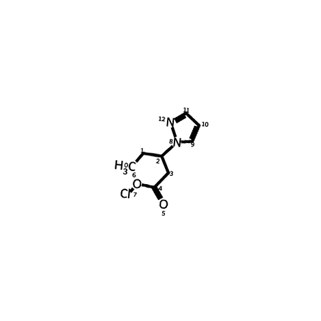 CCC(CC(=O)OCl)n1cccn1